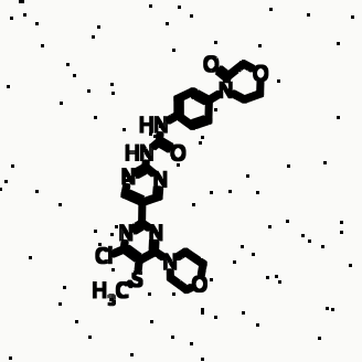 CSc1c(Cl)nc(-c2cnc(NC(=O)Nc3ccc(N4CCOCC4=O)cc3)nc2)nc1N1CCOCC1